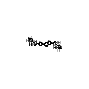 C[C@@]12C[C@@H](c3nc(-c4ccc(-c5ccc6cc(-c7c[nH]c([C@@H]8C[C@@]9(C)C[C@H]9N8)n7)ccc6c5)cc4)c[nH]3)N[C@@H]1C2